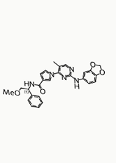 COC[C@@H](NC(=O)c1ccn(-c2nc(Nc3ccc4c(c3)OCO4)ncc2C)c1)c1ccccc1